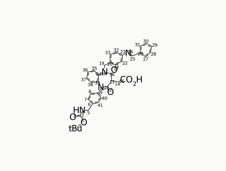 CC(C)(C)OC(=O)NCc1ccc(N2C(=O)C(CC(=O)O)C(=O)N(Cc3ccc(N=Cc4ccccc4)cc3)c3ccccc32)cc1